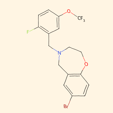 Fc1ccc(OC(F)(F)F)cc1CN1CCOc2ccc(Br)cc2C1